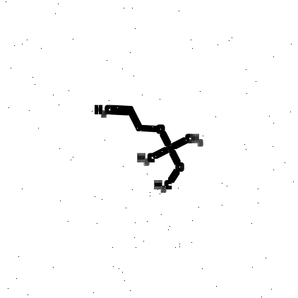 C=CCO[Si](C)(C)OC